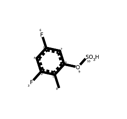 Cc1c(F)cc(F)cc1OS(=O)(=O)O